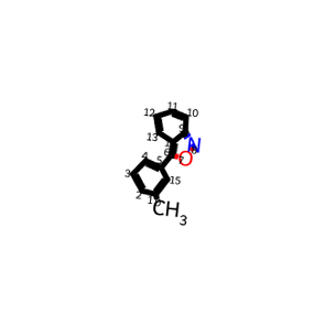 Cc1cccc(-c2onc3ccccc23)c1